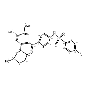 COc1cc2c(cc1OC)C1CC(O)CCC1N=C2c1ccc(NS(=O)(=O)c2ccc(F)cc2)cc1